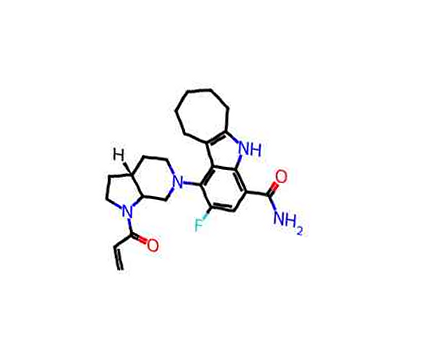 C=CC(=O)N1CC[C@@H]2CCN(c3c(F)cc(C(N)=O)c4[nH]c5c(c34)CCCCC5)CC21